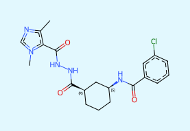 Cc1ncn(C)c1C(=O)NNC(=O)[C@@H]1CCC[C@H](NC(=O)c2cccc(Cl)c2)C1